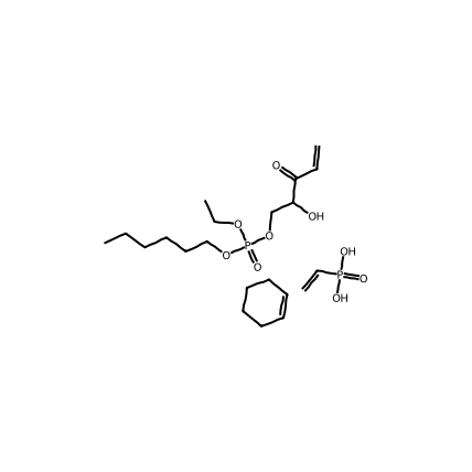 C1=CCCCC1.C=CC(=O)C(O)COP(=O)(OCC)OCCCCCC.C=CP(=O)(O)O